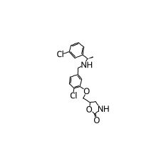 C[C@@H](NCc1ccc(Cl)c(OCC2CNC(=O)O2)c1)c1cccc(Cl)c1